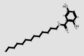 CCCCCCCCCCCCCOC(=O)c1cc(O)ccc1O